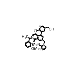 CNc1nccn1Cc1cc(-c2cc(CO)cnc2Cl)c2ccn([C@H](C)c3cccc(OC)c3)c(=O)c2c1